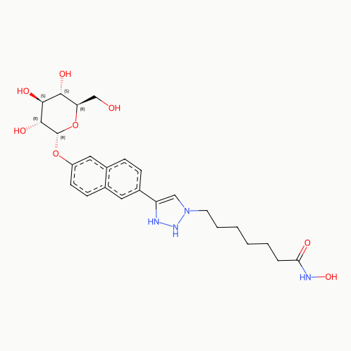 O=C(CCCCCCN1C=C(c2ccc3cc(O[C@H]4O[C@H](CO)[C@@H](O)[C@H](O)[C@H]4O)ccc3c2)NN1)NO